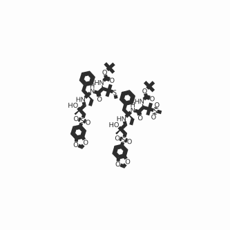 CC[C@](Cc1ccccc1)(NC[C@@](C)(O)CS(=O)(=O)c1ccc2c(c1)OCO2)NC(=O)[C@H](NC(=O)OC(C)(C)C)C(C)(C)S(C)(=O)=O.CC[C@](Cc1ccccc1)(NC[C@@](C)(O)CS(=O)(=O)c1ccc2c(c1)OCO2)NC(=O)[C@H](NC(=O)OC(C)(C)C)C(C)(C)SC